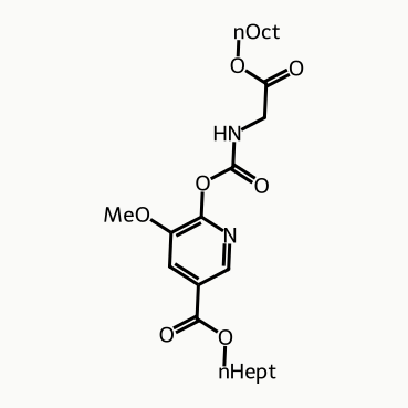 CCCCCCCCOC(=O)CNC(=O)Oc1ncc(C(=O)OCCCCCCC)cc1OC